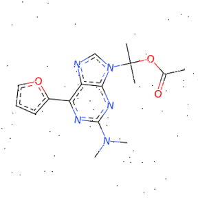 CC(=O)OC(C)(C)n1cnc2c(-c3ccco3)nc(N(C)C)nc21